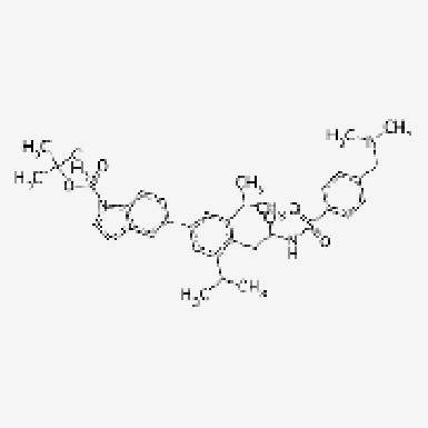 CC(C)c1cc(-c2ccc3c(ccn3C(=O)OC(C)(C)C)c2)cc(C(C)C)c1CC(=O)NS(=O)(=O)c1ccc(CN(C)C)cc1